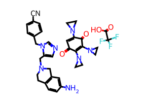 N#Cc1ccc(Cn2cncc2CN2CCc3ccc(N)cc3C2)cc1.O=C(O)C(F)(F)F.O=C1C=C(N2CC2)C(=O)C(N2CC2)=C1N1CC1